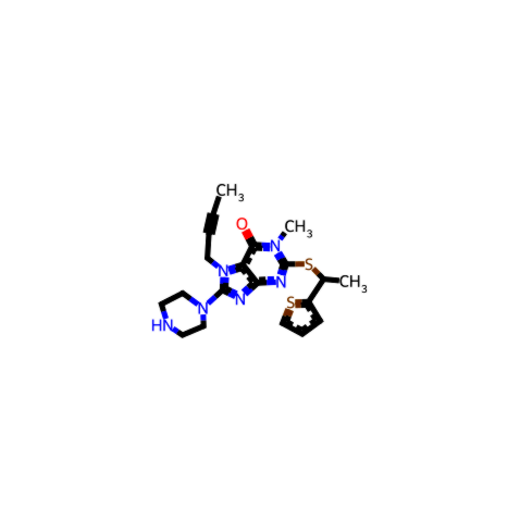 CC#CCn1c(N2CCNCC2)nc2nc(SC(C)c3cccs3)n(C)c(=O)c21